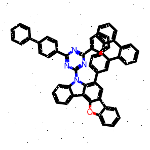 c1ccc(-c2ccc(-c3nc(-c4ccccc4)nc(-n4c5ccccc5c5c6oc7ccccc7c6cc(-c6ccc7c8ccccc8c8ccccc8c7c6)c54)n3)cc2)cc1